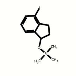 C[Si](C)(C)OC1CCc2c(I)cccc21